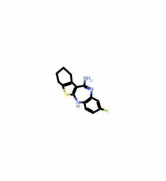 NC1=Nc2cc(F)ccc2Nc2sc3c(c21)CCCC3